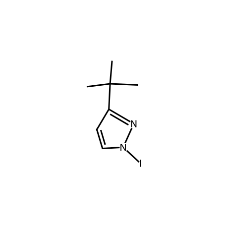 CC(C)(C)c1ccn(I)n1